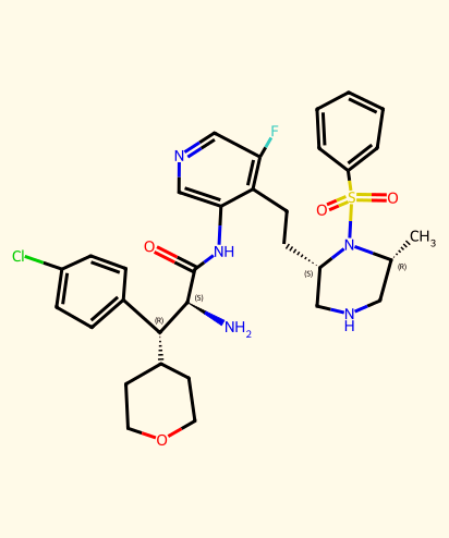 C[C@@H]1CNC[C@H](CCc2c(F)cncc2NC(=O)[C@@H](N)[C@@H](c2ccc(Cl)cc2)C2CCOCC2)N1S(=O)(=O)c1ccccc1